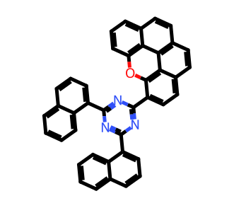 c1ccc2c(-c3nc(-c4ccc5ccc6ccc7cccc8c7c6c5c4O8)nc(-c4cccc5ccccc45)n3)cccc2c1